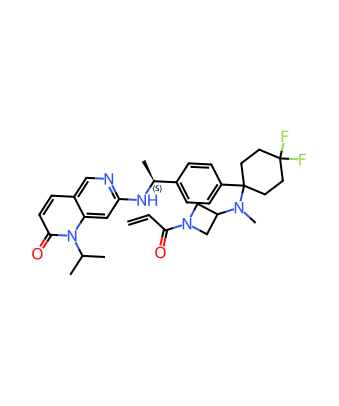 C=CC(=O)N1CC(N(C)C2(c3ccc([C@H](C)Nc4cc5c(ccc(=O)n5C(C)C)cn4)cc3)CCC(F)(F)CC2)C1